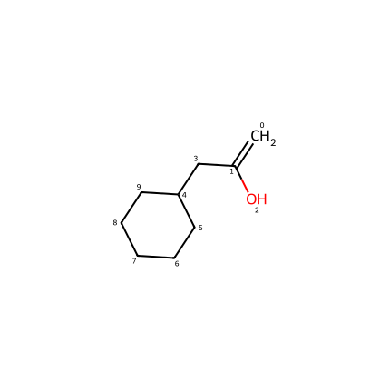 C=C(O)CC1CCCCC1